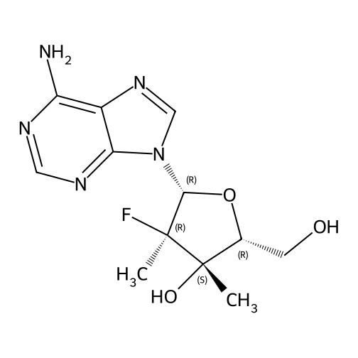 C[C@]1(O)[C@@H](CO)O[C@@H](n2cnc3c(N)ncnc32)[C@]1(C)F